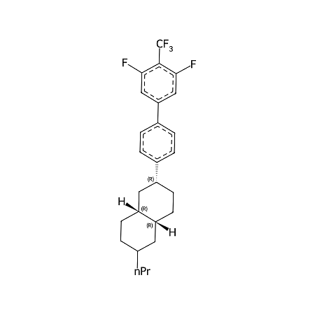 CCCC1CC[C@@H]2C[C@H](c3ccc(-c4cc(F)c(C(F)(F)F)c(F)c4)cc3)CC[C@@H]2C1